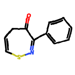 O=C1CC=CSN=C1c1ccccc1